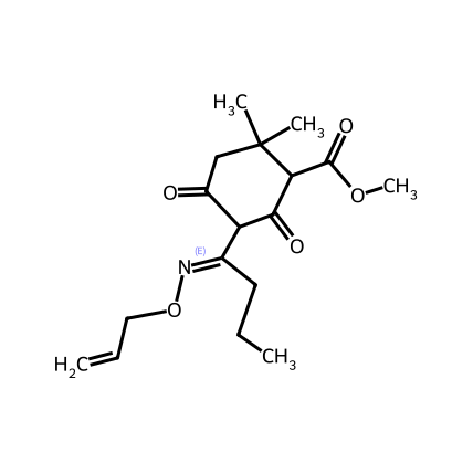 C=CCO/N=C(\CCC)C1C(=O)CC(C)(C)C(C(=O)OC)C1=O